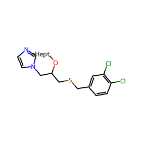 CCCCCCCOC(CSCc1ccc(Cl)c(Cl)c1)Cn1ccnc1